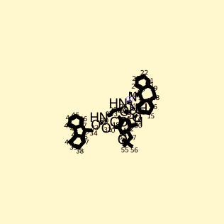 Cc1c(C)c(S(=O)(=O)N/C(=N\C2c3ccccc3CCc3ccccc32)NCCC(NC(=O)OCC2c3ccccc3-c3ccccc32)C(=O)O)c(C)c2c1OC(C)(C)C2